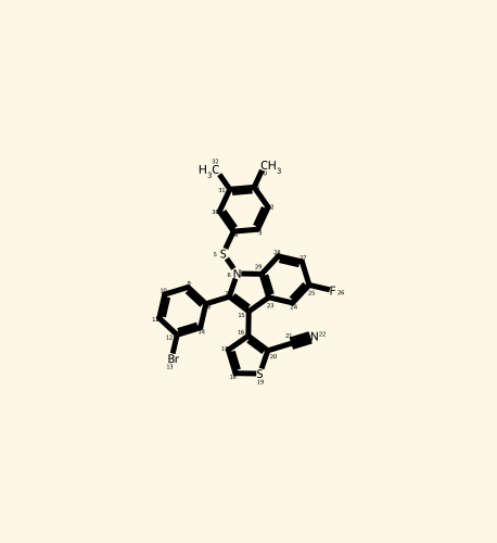 Cc1ccc(Sn2c(-c3cccc(Br)c3)c(-c3ccsc3C#N)c3cc(F)ccc32)cc1C